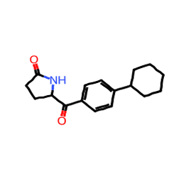 O=C1CCC(C(=O)c2ccc(C3CCCCC3)cc2)N1